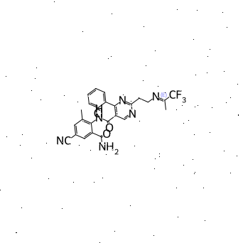 C/C(=N\CCc1ncc(C(=O)Nc2c(C)cc(C#N)cc2C(N)=O)c(-c2ccccc2Cl)n1)C(F)(F)F